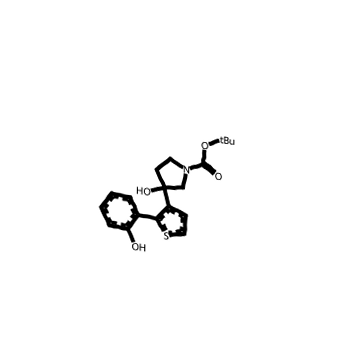 CC(C)(C)OC(=O)N1CCC(O)(c2ccsc2-c2ccccc2O)C1